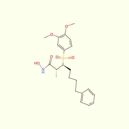 COc1ccc(S(=O)(=O)[C@@H](CCCCc2ccccc2)[C@H](C)C(=O)NO)cc1OC